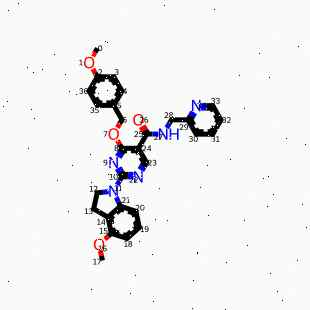 COc1ccc(COc2nc(N3CCc4c(OC)cccc43)ncc2C(=O)NCc2ccccn2)cc1